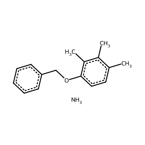 Cc1ccc(OCc2ccccc2)c(C)c1C.N